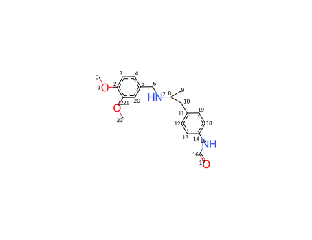 COc1ccc(CNC2CC2c2ccc(NC=O)cc2)cc1OC